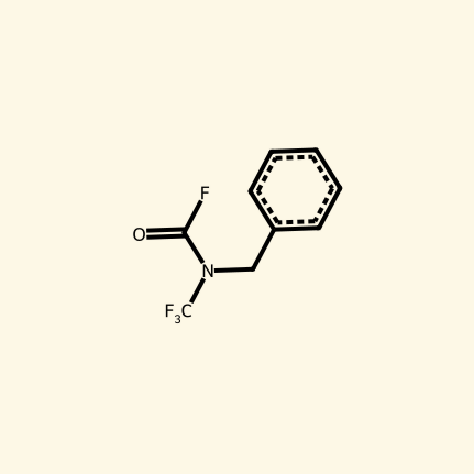 O=C(F)N(Cc1ccccc1)C(F)(F)F